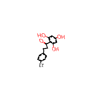 CCc1ccc(CCC(=O)c2c(O)cc(O)cc2O)cc1